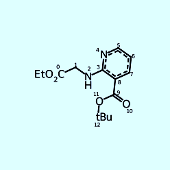 CCOC(=O)CNc1ncccc1C(=O)OC(C)(C)C